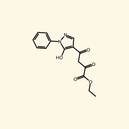 CCOC(=O)C(=O)CC(=O)c1cnn(-c2ccccc2)c1O